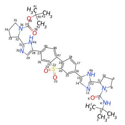 CC(C)(C)NC(=O)N1CCCC1c1ncc(-c2ccc3c(c2)S(=O)(=O)c2cc(-c4cnc(C5CCCN5C(=O)OC(C)(C)C)[nH]4)ccc2-3)[nH]1